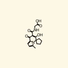 Cc1ccc2n1C1(CCCC1)C(O)=C(C(=O)NCC(=O)O)C2=O